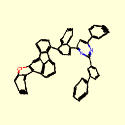 c1ccc(-c2cccc(-c3nc(-c4ccccc4)cc(-c4ccc(-c5cccc6c5-c5cccc7c5c-6cc5oc6ccccc6c57)c5ccccc45)n3)c2)cc1